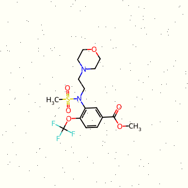 COC(=O)c1ccc(OC(F)(F)F)c(N(CCN2CCOCC2)S(C)(=O)=O)c1